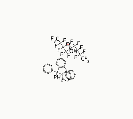 O=P(O)(C(F)(F)C(F)(F)C(F)(F)C(F)(F)F)C(F)(F)C(F)(F)C(F)(F)C(F)(F)F.PC(c1ccccc1)(c1ccccc1)c1ccccc1-c1ccccc1